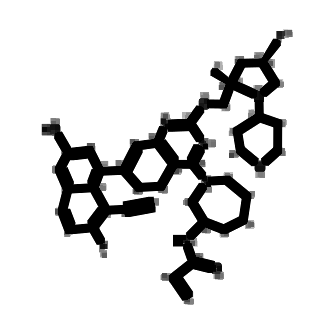 C#Cc1c(F)ccc2cc(O)cc(C3=Cc4nc(OC[C@]5(C)C[C@@H](F)CN5C5CCOCC5)nc(N5CCCCC(NC(=O)C=C)C5)c4CC3)c12